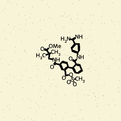 COC(=O)C(C)(C)CNC(=O)c1ccc(-c2ccccc2C(=O)Nc2ccc(C(=N)N)cc2)c(C(=O)OS(C)(=O)=O)c1